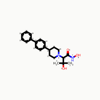 CC(C)(O)C(C(=O)NO)N1CCC(c2ccc(-c3ccccc3)cc2)CC1